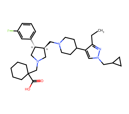 CCc1nn(CC2CC2)cc1C1CCN(C[C@H]2CN(CC3(C(=O)O)CCCCC3)C[C@@H]2c2cccc(F)c2)CC1